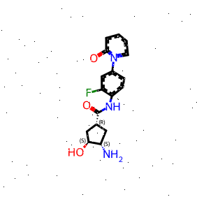 N[C@H]1C[C@@H](C(=O)Nc2ccc(-n3ccccc3=O)cc2F)C[C@@H]1O